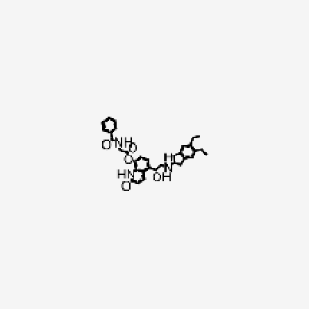 CCc1cc2c(cc1CC)CC(NC[C@H](O)c1ccc(OC(=O)CNC(=O)c3ccccc3)c3[nH]c(=O)ccc13)C2